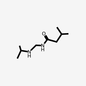 CC(C)CC(=O)NCNC(C)C